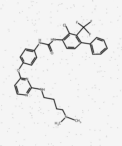 CN(C)CCCCNc1nccc(Oc2ccc(NC(=O)Nc3ccc(-c4ccccc4)c(C(F)(F)F)c3Cl)cc2)n1